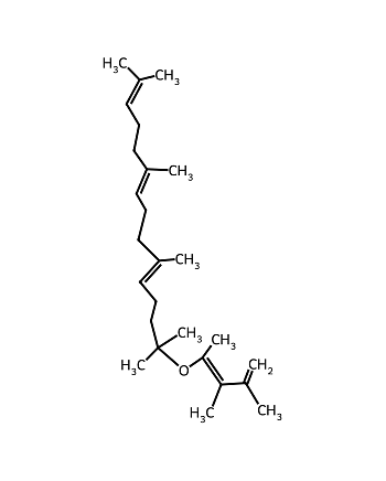 C=C(C)/C(C)=C(\C)OC(C)(C)CC/C=C(\C)CC/C=C(\C)CCC=C(C)C